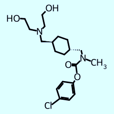 CN(C[C@H]1CC[C@H](CN(CCO)CCO)CC1)C(=O)Oc1ccc(Cl)cc1